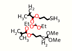 C=C(C)C(=O)OCCC[SiH2]C(OC)OC.C=C(C)C(=O)OCCC[SiH3].CCO[CH]OCC